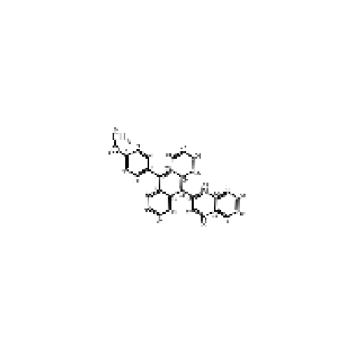 COc1ccc(-c2c3ccccc3c(-c3cnc4ccccc4n3)c3ccccc23)cc1